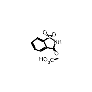 CC(=O)O.O=C1NS(=O)(=O)c2ccccc21